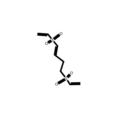 C=CS(=O)(=O)C=CCCS(=O)(=O)C=C